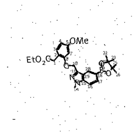 CCOC(=O)Cc1ccc(OC)cc1OCc1nn(C)c2ccc(B3OC(C)(C)C(C)(C)O3)cc12